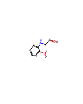 COc1ccccc1NC[C]=O